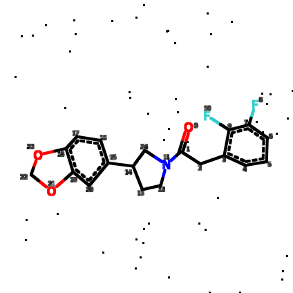 O=C(Cc1cccc(F)c1F)N1CCC(c2ccc3c(c2)OCO3)C1